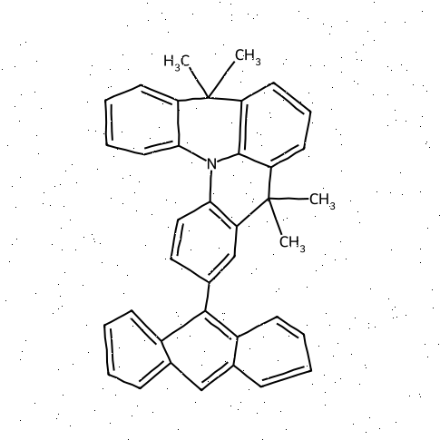 CC1(C)c2ccccc2N2c3ccc(-c4c5ccccc5cc5ccccc45)cc3C(C)(C)c3cccc1c32